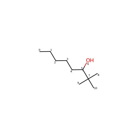 CCCCC[C](O)C(C)(C)C